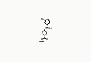 CC(C)(C)OC(=O)N1CCC(C[C@H](O)c2cccc(Br)c2)CC1